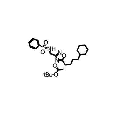 CC(C)(C)OC(=O)C[C@@H](CCCC1CCCCC1)c1nc(CNS(=O)(=O)c2ccccc2)no1